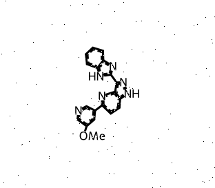 COc1cncc(-c2ccc3[nH]nc(-c4nc5ccccc5[nH]4)c3n2)c1